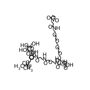 CC(C)(C)C(=O)OCc1ccc(O[C@@H]2O[C@H](CO)[C@H](O)[C@H](O)[C@H]2O)c(NC(=O)CCNC(=O)COCCNC(=O)[C@@H](CS(=O)(=O)O)NC(=O)CCOCCOCCOCCOCCNC(=O)CCN2C(=O)C=CC2=O)c1